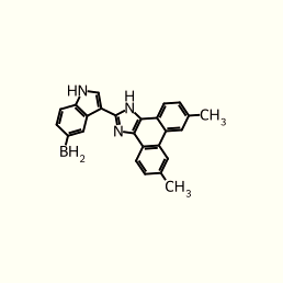 Bc1ccc2[nH]cc(-c3nc4c5ccc(C)cc5c5cc(C)ccc5c4[nH]3)c2c1